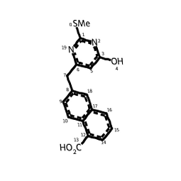 CSc1nc(O)cc(Cc2ccc3c(C(=O)O)cccc3c2)n1